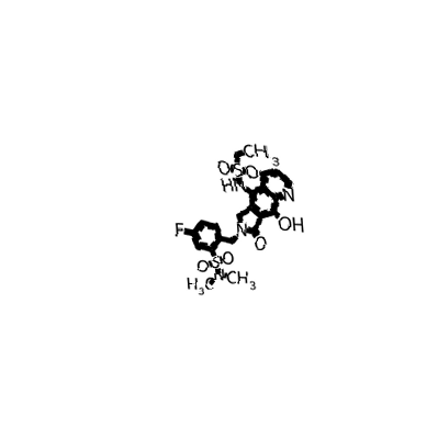 CCS(=O)(=O)Nc1c2c(c(O)c3ncccc13)C(=O)N(Cc1ccc(F)cc1S(=O)(=O)N(C)C)C2